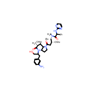 CC[C@H](C)[C@@H]([C@@H](CC(=O)N1CCCC1[C@H](OC)[C@@H](C)C(=O)NC(CO)Cc1cccc(N)c1)OC)N(C)C(=O)C(Nc1ncccn1)C(C)C